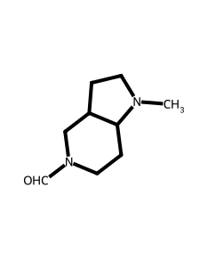 CN1CCC2CN(C=O)CCC21